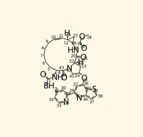 BC(=O)N[C@H]1CCCCC/C=C\[C@@H]2C[C@@]2(C(=O)OC)NC(=O)[C@@H]2C[C@@H](Oc3cc(-c4ccccn4)nc4ccsc34)CN2C1=O